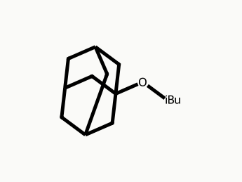 CCC(C)OC12CC3CC(CC(C3)C1)C2